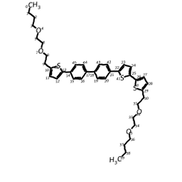 CCCCOCCOCCc1ccc(-c2ccc(-c3ccc(-c4ccc(-c5ccc(CCOCCOCCCC)s5)s4)cc3)cc2)s1